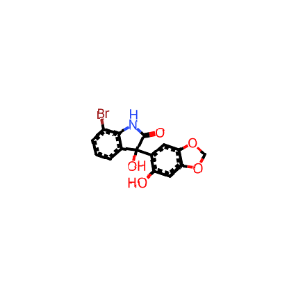 O=C1Nc2c(Br)cccc2C1(O)c1cc2c(cc1O)OCO2